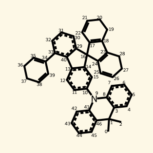 CC1(C)c2ccccc2N(c2ccc3c(c2)C2(C4=C(CCC=C4)C4=C2C=CCC4)c2cccc(C4=CCCC=C4)c2-3)c2ccccc21